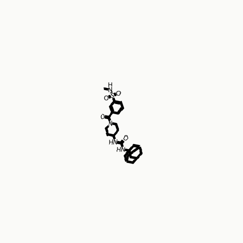 CNS(=O)(=O)c1cccc(C(=O)N2CCC(NC(=O)NC34CC5CC(CC(C5)C3)C4)CC2)c1